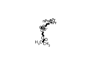 C=C(C)C(=O)OCCCOP(=O)([O-])OCCC[N+](CCC)(CCC)CCC